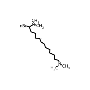 CCCCC(CCC[CH]CCCCCCCCN(C)C)N(C)C